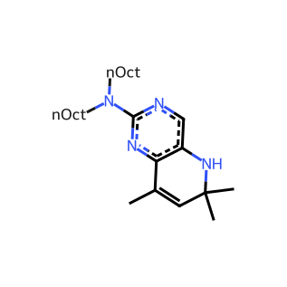 CCCCCCCCN(CCCCCCCC)c1ncc2c(n1)C(C)=CC(C)(C)N2